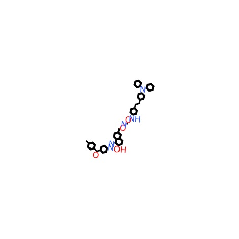 Cc1ccc(C(=O)c2ccc(N=Nc3c(O)ccc4cc(CO/N=C/ONc5ccc(CCc6ccc(N(c7ccccc7)c7ccccc7)cc6)cc5)ccc34)cc2)cc1